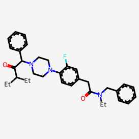 CCC(CC)C(=O)C(c1ccccc1)N1CCN(c2ccc(CC(=O)N(CC)Cc3ccccc3)cc2F)CC1